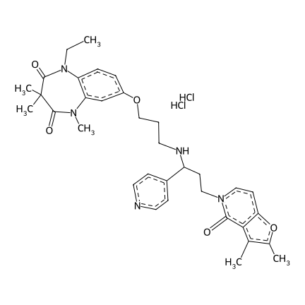 CCN1C(=O)C(C)(C)C(=O)N(C)c2cc(OCCCNC(CCn3ccc4oc(C)c(C)c4c3=O)c3ccncc3)ccc21.Cl.Cl